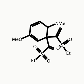 C=C(C1(C(=C)S(=O)(=O)CC)C=C(OC)C=CC1NC)S(=O)(=O)CC